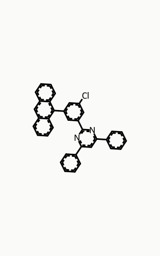 Clc1cc(-c2nc(-c3ccccc3)cc(-c3ccccc3)n2)cc(-c2c3ccccc3cc3ccccc23)c1